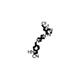 N#Cc1cc2ccc(CN3CC4(C3)CN(c3ncnc5sc(CC(F)(F)F)cc35)C4)cc2[nH]1